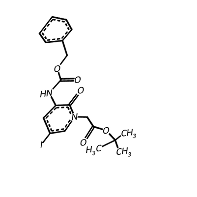 CC(C)(C)OC(=O)Cn1cc(I)cc(NC(=O)OCc2ccccc2)c1=O